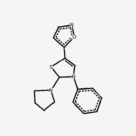 [C]1=C(c2ccno2)SC(N2CCCC2)N1c1ccccc1